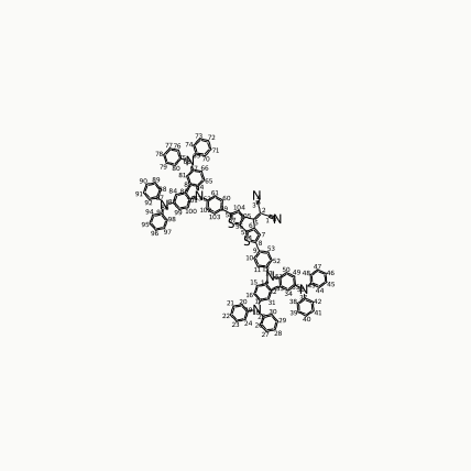 N#CC(C#N)=C1c2cc(-c3ccc(-n4c5ccc(N(c6ccccc6)c6ccccc6)cc5c5cc(N(c6ccccc6)c6ccccc6)ccc54)cc3)sc2-c2sc(-c3ccc(-n4c5ccc(N(c6ccccc6)c6ccccc6)cc5c5cc(N(c6ccccc6)c6ccccc6)ccc54)cc3)cc21